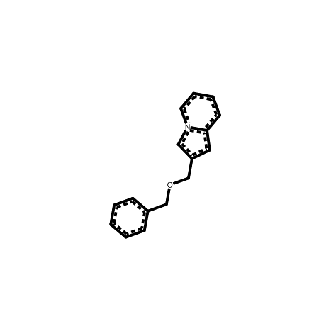 c1ccc(COCc2cc3ccccn3c2)cc1